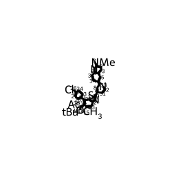 CNc1ccc2cc(-c3cc(-c4nc5cc(C)c([C@H](OC(C)(C)C)C(C)=O)c(-c6ccc(Cl)cc6)c5s4)ccn3)ccc2n1